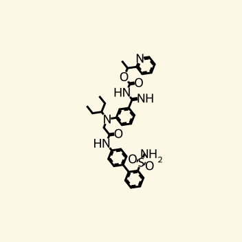 CCC(CC)N(CC(=O)Nc1ccc(-c2ccccc2S(N)(=O)=O)cc1)c1cccc(C(=N)NC(=O)OC(C)c2ccccn2)c1